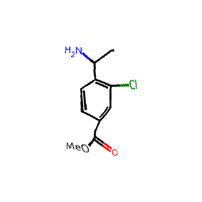 COC(=O)c1ccc(C(C)N)c(Cl)c1